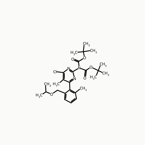 Cc1cccc(COC(C)C)c1-c1nc(N(C(=O)OC(C)(C)C)C(=O)OC(C)(C)C)nc(Cl)c1C